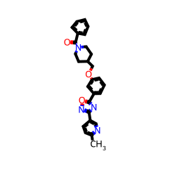 Cc1ccc(-c2noc(-c3cccc(OCC4CCN(C(=O)c5ccccc5)CC4)c3)n2)cn1